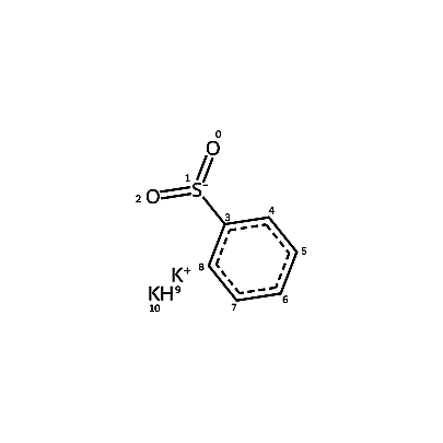 O=[S-](=O)c1ccccc1.[K+].[KH]